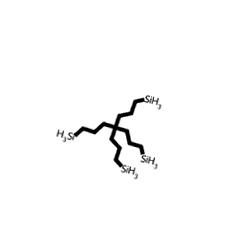 [SiH3]CCCC(CCC[SiH3])(CCC[SiH3])CCC[SiH3]